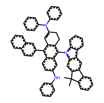 CC1(C)c2ccccc2-c2cc3c4ccccc4n(-c4c5c(c(-c6ccc7ccccc7c6)c6ccc(Nc7ccccc7)cc46)C=C(N(c4ccccc4)c4ccccc4)CC5)c3cc21